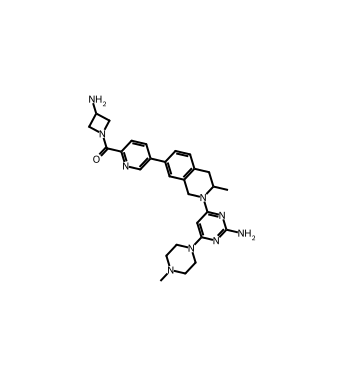 CC1Cc2ccc(-c3ccc(C(=O)N4CC(N)C4)nc3)cc2CN1c1cc(N2CCN(C)CC2)nc(N)n1